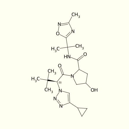 Cc1noc(C(C)(C)NC(=O)C2CC(O)CN2C(=O)[C@@H](n2cc(C3CC3)nn2)C(C)(C)C)n1